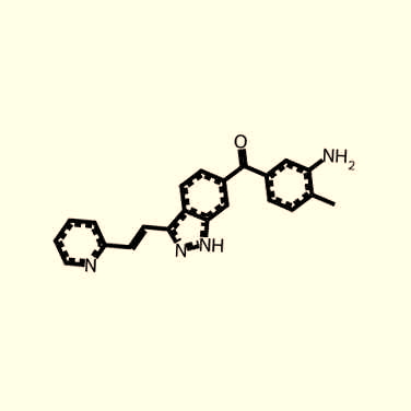 Cc1ccc(C(=O)c2ccc3c(/C=C/c4ccccn4)n[nH]c3c2)cc1N